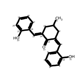 CC1C/C(=C/c2ccccc2O)C(=O)/C(=C/c2ccccc2O)C1